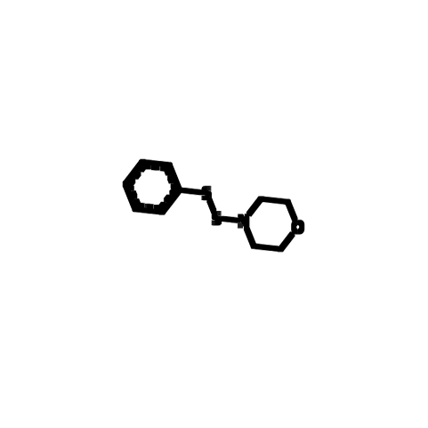 c1ccc(SSN2CCOCC2)cc1